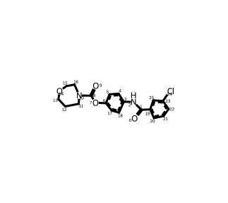 O=C(Nc1ccc(OC(=O)N2CCCOCC2)cc1)c1cccc(Cl)c1